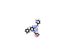 O=C(NCc1cccnc1)c1ccc(-c2ccccc2)nc1NCC1CCCO1